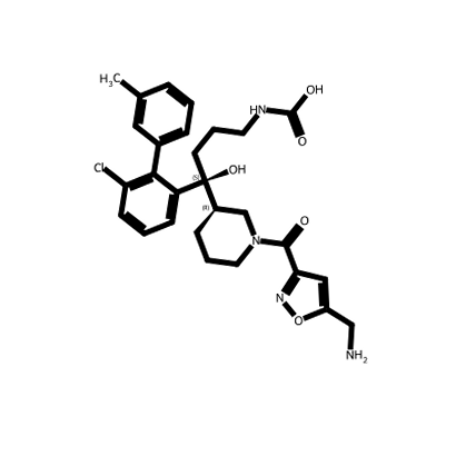 Cc1cccc(-c2c(Cl)cccc2[C@](O)(CCCNC(=O)O)[C@@H]2CCCN(C(=O)c3cc(CN)on3)C2)c1